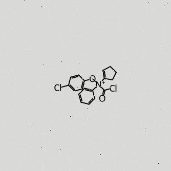 O=C(Cl)[N+](Oc1ccc(Cl)cc1)(C1=CCCC1)c1ccccc1